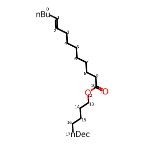 CCCCC=CCCCCCCCC(=O)OCCCCCCCCCCCCCC